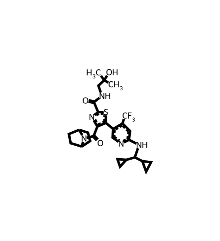 CC(C)(O)CNC(=O)c1nc(C(=O)N2C3CCC2CC3)c(-c2cnc(NC(C3CC3)C3CC3)cc2C(F)(F)F)s1